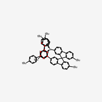 CC(C)(C)c1ccc(-c2nc(-c3ccc(C(C)(C)C)cc3)nc(-c3ccc4c(c3)C3(c5cc(-n6c7ccc(C(C)(C)C)cc7c7cc(C(C)(C)C)ccc76)ccc5-c5ccc(C(C)(C)C)cc53)c3cc(C(C)(C)C)ccc3-4)n2)cc1